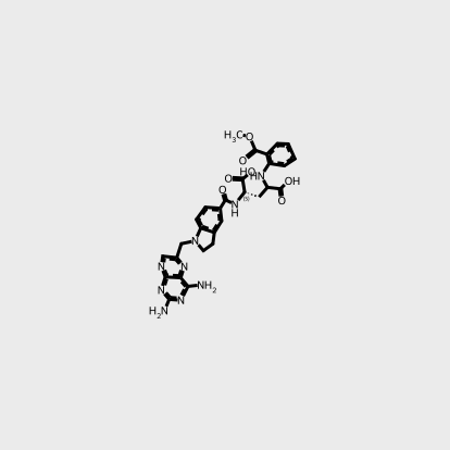 COC(=O)c1ccccc1NC(C[C@H](NC(=O)c1ccc2c(c1)CCN2Cc1cnc2nc(N)nc(N)c2n1)C(=O)O)C(=O)O